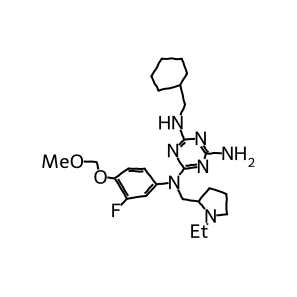 CCN1CCCC1CN(c1ccc(OCOC)c(F)c1)c1nc(N)nc(NCC2CCCCC2)n1